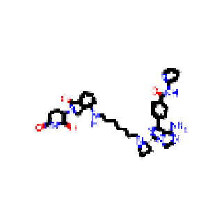 Nc1nccn2c([C@@H]3CCCN3CCCCCCCNc3cccc4c3CN(C3CCC(=O)NC3=O)C4=O)nc(-c3ccc(C(=O)Nc4ccccn4)cc3)c12